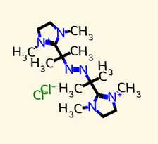 CN1CC[N+](C)=C1C(C)(C)N=NC(C)(C)C1=[N+](C)CCN1C.[Cl-].[Cl-]